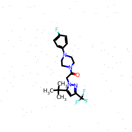 CC(C)(C)c1cc(C(F)(F)F)nn1CC(=O)N1CCN(c2ccc(F)cc2)CC1